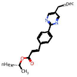 CCCCCCCCCCCc1cnc(-c2ccc(C=CC(=O)O[C@H](C)CCCCCC)cc2)nc1